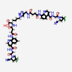 N#C[C@@H]1CC(F)(F)CN1C(=O)CNC(=O)c1ccnc2c(NC(=O)CCC(=O)NCc3cn(CCCC[C@H](NC(=O)CCC(=O)Nc4cccc5c(C(=O)NCC(=O)N6CC(F)(F)C[C@H]6C#N)ccnc45)C(=O)O)nn3)cccc12